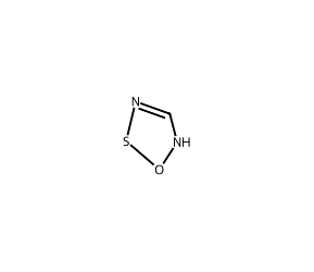 C1=NSON1